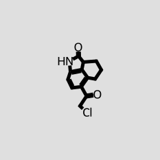 O=C(CCl)c1ccc2c3c1CCCC3C(=O)N2